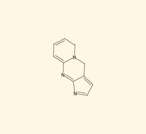 C1=CCN2CC3=CC=NC3=NC2=C1